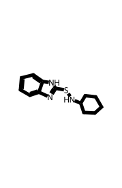 c1ccc2[nH]c(SNC3CCCCC3)nc2c1